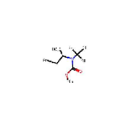 [2H]C([2H])([2H])N(C(=O)OC(C)(C)C)[C@@H](CC(C)C)C(=O)O